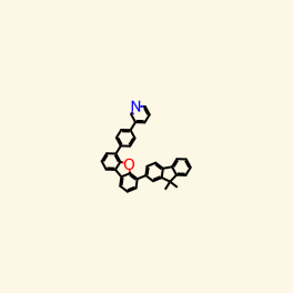 CC1(C)c2ccccc2-c2ccc(-c3cccc4c3oc3c(-c5ccc(-c6cccnc6)cc5)cccc34)cc21